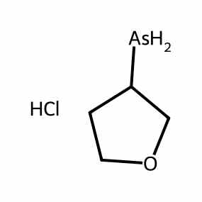 Cl.[AsH2]C1CCOC1